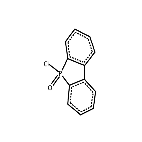 O=P1(Cl)c2ccccc2-c2ccccc21